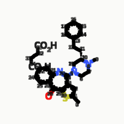 Cc1cc2c(N3CCN(C)[C@@H](CCc4ccccc4)C3)nc3ccccc3c(=O)c2s1.O=C(O)CCC(=O)O